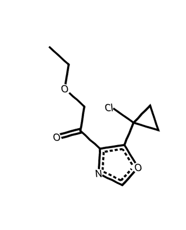 CCOCC(=O)c1ncoc1C1(Cl)CC1